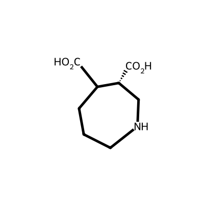 O=C(O)C1CCCNC[C@H]1C(=O)O